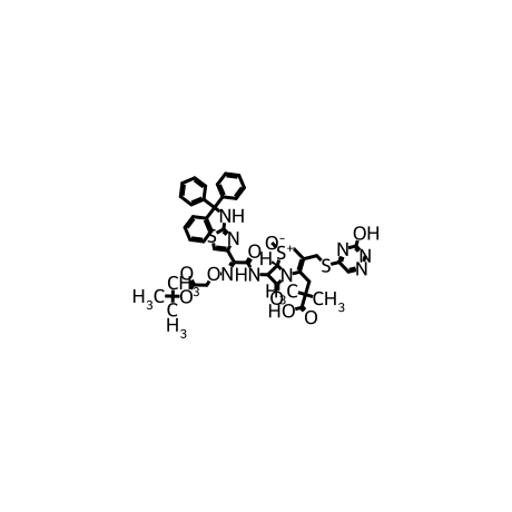 CC(C)(C)OC(=O)CON=C(C(=O)NC1C(=O)N2C(CC(C)(C)C(=O)O)=C(CSc3cnnc(O)n3)C[S+]([O-])[C@@H]12)c1csc(NC(c2ccccc2)(c2ccccc2)c2ccccc2)n1